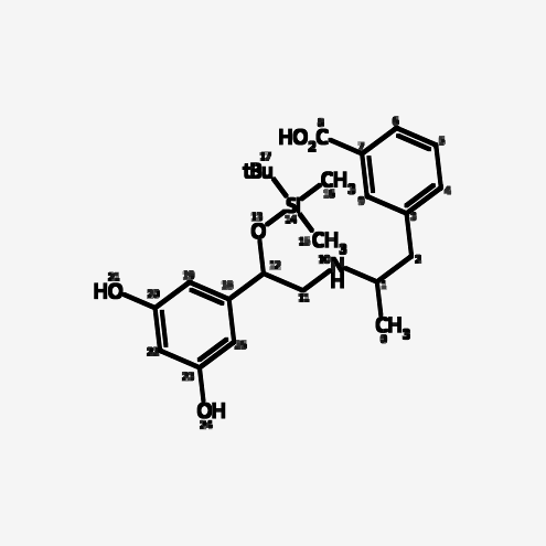 CC(Cc1cccc(C(=O)O)c1)NCC(O[Si](C)(C)C(C)(C)C)c1cc(O)cc(O)c1